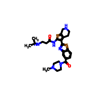 CC(C)NCCC(=O)Nc1sc2c(c1-c1nc3cc(C(=O)N4CCN(C)CC4)ccc3s1)CCNC2